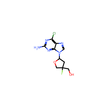 Nc1nc(Cl)c2ncn(C3CC(F)(CO)CO3)c2n1